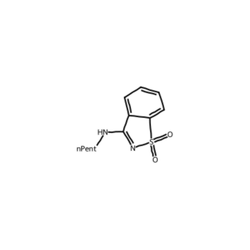 CCCCCNC1=NS(=O)(=O)c2ccccc21